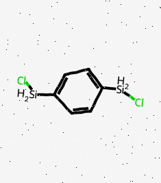 Cl[SiH2]c1ccc([SiH2]Cl)cc1